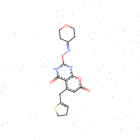 O=c1cc(CC2=CCCS2)c2c(=O)[nH]c(ON=C3CCOCC3)nc2o1